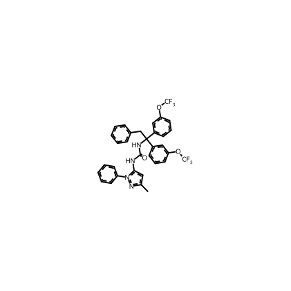 Cc1cc(NC(=O)NC(Cc2ccccc2)(c2cccc(OC(F)(F)F)c2)c2cccc(OC(F)(F)F)c2)n(-c2ccccc2)n1